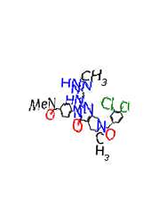 CNC(=O)c1ccc(-n2c(NCc3n[nH]c(C)n3)nc3c(c2=O)C[C@@H](C)N(C(=O)c2ccc(Cl)c(Cl)c2)C3)cc1